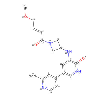 CNc1cc(-c2c[nH]c(=O)c(NC3CN(C(=O)/C=C/COC(C)C)C3)c2)ccn1